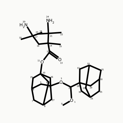 COC(OC12CC3CC(CC(OC(=O)C(C)(CC(C)(C)N)C(C)(C)N)(C3)C1)C2)C12CC3CC(CC(C3)C1)C2